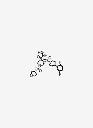 O=C(O[C@H]1CCOC1)N1CCC(CS(=O)(=O)N2CC=C(c3cc(F)ccc3F)CC2)(C(=O)NO)CC1